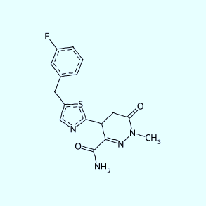 CN1N=C(C(N)=O)C(c2ncc(Cc3cccc(F)c3)s2)CC1=O